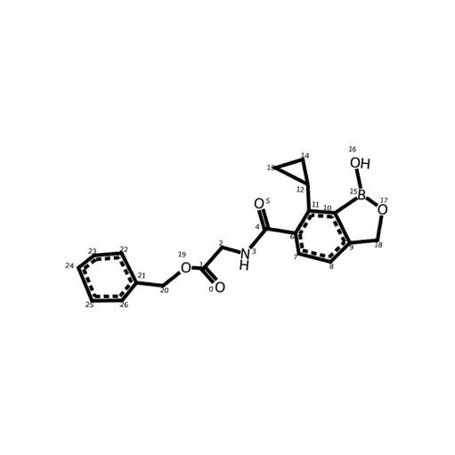 O=C(CNC(=O)c1ccc2c(c1C1CC1)B(O)OC2)OCc1ccccc1